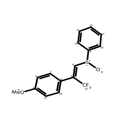 COc1ccc(/C(=C/[S+]([O-])c2ccccc2)C(F)(F)F)cc1